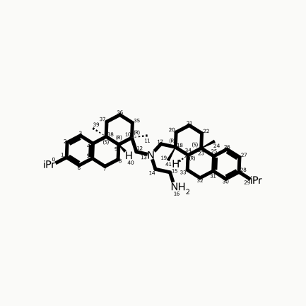 CC(C)c1ccc2c(c1)CC[C@H]1[C@](C)(CN(CCN)C[C@]3(C)CCC[C@]4(C)c5ccc(C(C)C)cc5CC[C@@H]34)CCC[C@]21C